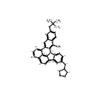 Cc1c2ccc(CC(C)(C)C)cc2cc2c3ncnc4ccc5c6cc(CC7CCCC7)ccc6n(c12)c5c43